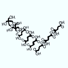 O=C(O)CCC(=O)O.O=C(O)CCC(=O)O.O=C(O)CCC(=O)O.O=C(O)CCC(=O)O.O=C(O)CCC(=O)O.O=C(O)CCC(=O)O.OCC(CO)(CO)CO.OCC(CO)(CO)CO